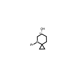 CC(C)N1C[C@H](O)CCC12CC2